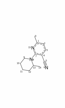 Cc1ccc(C#N)c(N2CCCCC2C)n1